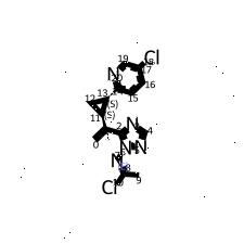 C=C(c1ncnn1/N=C(\C)Cl)[C@H]1C[C@@H]1c1ccc(Cl)cn1